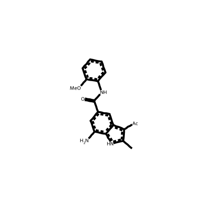 COc1ccccc1NC(=O)c1cc(N)c2[nH]c(C)c(C(C)=O)c2c1